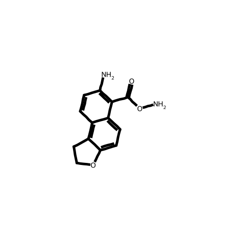 NOC(=O)c1c(N)ccc2c3c(ccc12)OCC3